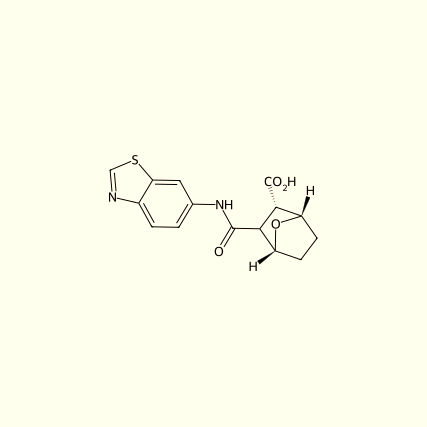 O=C(Nc1ccc2ncsc2c1)C1[C@H]2CC[C@H](O2)[C@H]1C(=O)O